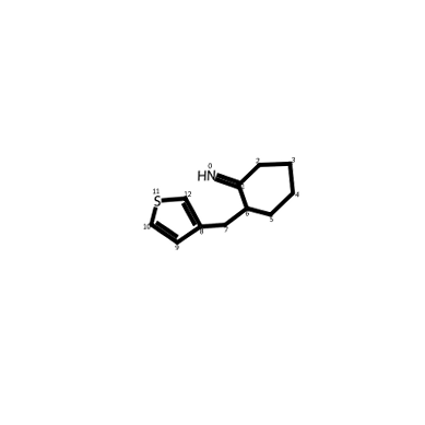 N=C1CCCCC1Cc1ccsc1